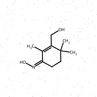 CC1=C(CO)C(C)(C)CC/C1=N/O